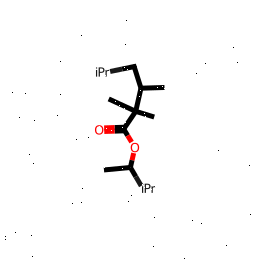 CC(C)CC(C)C(C)(C)C(=O)OC(C)C(C)C